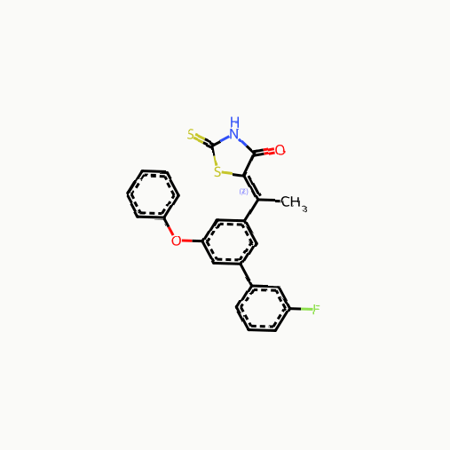 C/C(=C1/SC(=S)NC1=O)c1cc(Oc2ccccc2)cc(-c2cccc(F)c2)c1